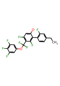 CCc1ccc(-c2c([O])cc(F)c(C(F)(F)Oc3cc(F)c(F)c(F)c3)c2F)c(F)c1